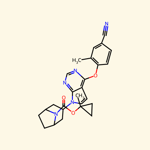 Cc1cc(C#N)ccc1Oc1ncnc2c1ccn2C1CC2CCC(C1)N2C(=O)OC1(C)CC1